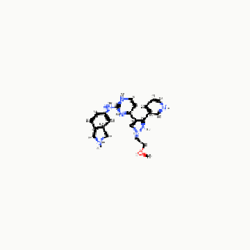 COCCn1cc(-c2ccnc(Nc3ccc4c(c3)CN(C)C4)n2)c(-c2cccnc2)n1